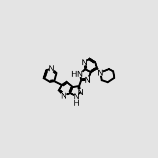 c1cncc(-c2cnc3[nH]nc(-c4nc5c(N6CCCCC6)ccnc5[nH]4)c3c2)c1